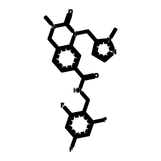 CN1Cc2ccc(C(=O)NCc3c(F)cc(F)cc3F)cc2N(Cc2ccnn2C)C1=O